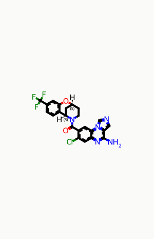 Nc1nc2cc(Cl)c(C(=O)N3CC[C@H]4C[C@@H]3c3ccc(C(F)(F)F)cc3O4)cc2n2cncc12